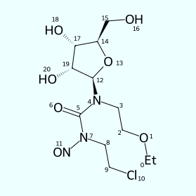 CCOCCN(C(=O)N(CCCl)N=O)[C@@H]1O[C@H](CO)[C@@H](O)[C@H]1O